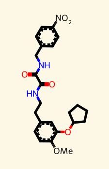 COc1ccc(CCNC(=O)C(=O)NCc2ccc([N+](=O)[O-])cc2)cc1OC1CCCC1